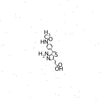 CC(=O)Nc1ccc(-c2csc3c(C=CC(=O)O)cnc(N)c23)cc1